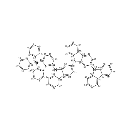 c1ccc([Si](c2ccccc2)(c2ccccc2)c2cccc(-n3c4ccccc4c4ccc(-n5c6ccccc6c6ccc(-n7c8ccccc8c8ccccc87)cc65)cc43)c2)cc1